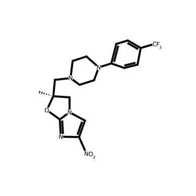 C[C@]1(CN2CCN(c3ccc(C(F)(F)F)cc3)CC2)Cn2cc([N+](=O)[O-])nc2O1